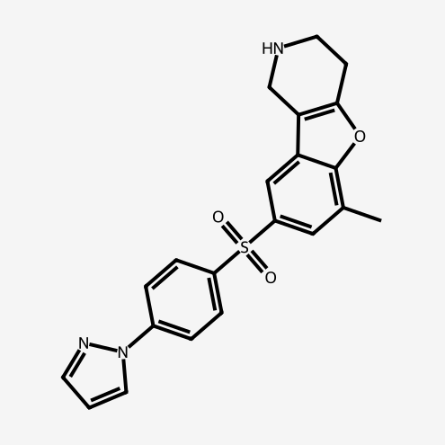 Cc1cc(S(=O)(=O)c2ccc(-n3cccn3)cc2)cc2c3c(oc12)CCNC3